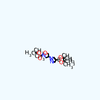 CC(C)(C)OC(=O)N1CC(n2cc(B3OC(C)(C)C(C)(C)O3)cn2)CO1